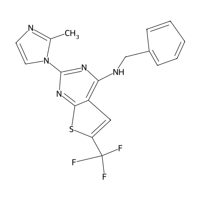 Cc1nccn1-c1nc(NCc2ccccc2)c2cc(C(F)(F)F)sc2n1